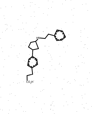 O=C(O)CCc1ccc(C2CCC(NCCc3ccccc3)C2)cc1